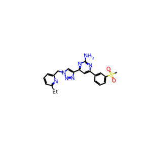 CCc1cccc(Cn2cc(-c3cc(-c4cccc(S(C)(=O)=O)c4)nc(N)n3)nn2)n1